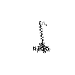 CCCCCCCCCCCCCCCC(=O)OC1=C(c2ccccc2)C(=O)CC(C)(C)C1